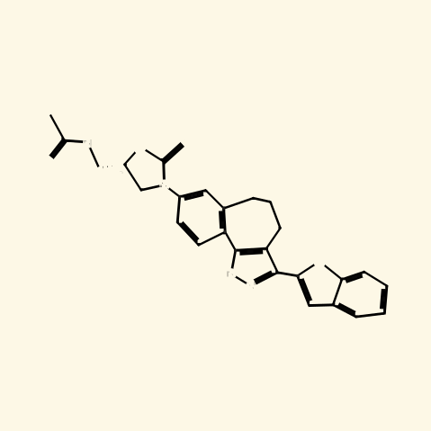 CC(=O)NC[C@H]1CN(c2ccc3c(c2)CCCc2c(-c4cc5ccccc5o4)n[nH]c2-3)C(=O)O1